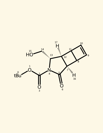 CC(C)(C)OC(=O)N1C(=O)[C@@H]2C3C=CC3[C@@H]2[C@H]1CO